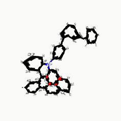 c1ccc(-c2cccc(-c3ccc(N(c4ccccc4)c4ccccc4-c4cc5c6ccccc6ccc5c5ccccc45)cc3)c2)cc1